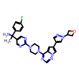 CC(N)(c1ccc(F)cc1)c1cnc(N2CCN(c3ncnn4cc(-c5cnn(C6COC6)c5)cc34)CC2)nc1